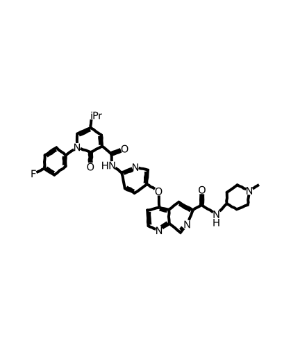 CC(C)c1cc(C(=O)Nc2ccc(Oc3ccnc4cnc(C(=O)NC5CCN(C)CC5)cc34)cn2)c(=O)n(-c2ccc(F)cc2)c1